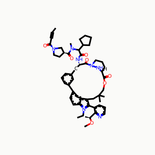 CC#CC(=O)N1CC[C@H](C(=O)N(C)C(C(=O)N[C@H]2Cc3cccc(c3)-c3ccc4c(c3)c(c(-c3cccnc3[C@H](C)OC)n4CC)CC(C)(C)COC(=O)[C@@H]3CCCN(N3)C2=O)C2CCCC2)C1